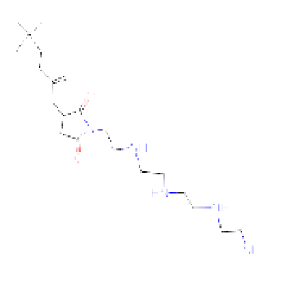 C=C(CCC(C)(C)C)CC1CC(=O)N(CCNCCNCCNCCN)C1=O